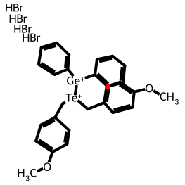 Br.Br.Br.Br.COc1ccc(C[Te+](Cc2ccc(OC)cc2)[Ge+]([c]2ccccc2)[c]2ccccc2)cc1